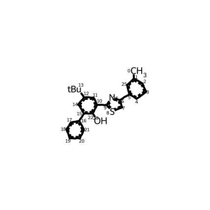 Cc1cccc(-c2csc(-c3cc(C(C)(C)C)cc(-c4ccccc4)c3O)n2)c1